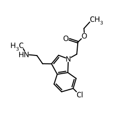 CCOC(=O)Cn1cc(CCNC)c2ccc(Cl)cc21